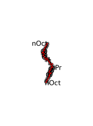 C=C(CCSSCCN1CCC(CCOC(=O)Cc2ccc(OC(=O)CCCCCCC/C=C\CCCCCCCC)cc2)CC1)CCC(CCC)CCOC(=O)Cc1ccc(OC(=O)CCCCCCC/C=C\CCCCCCCC)cc1